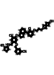 N#Cc1cncc(COc2cc(O[C@H]3CCc4c(-c5cccc(OCCCN6CC7(CC(O)C7)C6)c5Cl)cccc43)c(Cl)cc2CN[C@@H]2CCC[C@@H]2O)c1